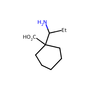 CCC(N)C1(C(=O)O)CCCCC1